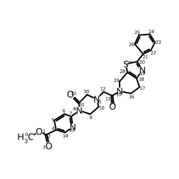 COC(=O)c1ccc(N2CCN(CC(=O)N3CCc4nc(-c5ccccc5)sc4C3)CC2=O)nc1